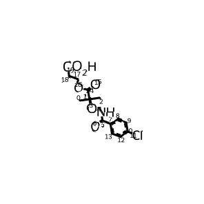 CC(C)(ONC(=O)c1ccc(Cl)cc1)C(=O)OCCC(=O)O